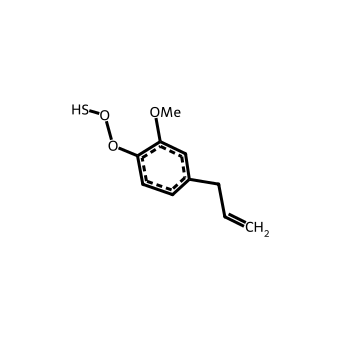 C=CCc1ccc(OOS)c(OC)c1